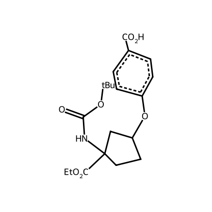 CCOC(=O)C1(NC(=O)OC(C)(C)C)CCC(Oc2ccc(C(=O)O)cc2)C1